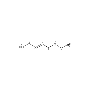 CCCCOCC=CCO